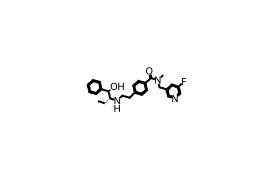 CC[C@@H](NCCc1ccc(C(=O)N(C)Cc2cncc(F)c2)cc1)[C@H](O)c1ccccc1